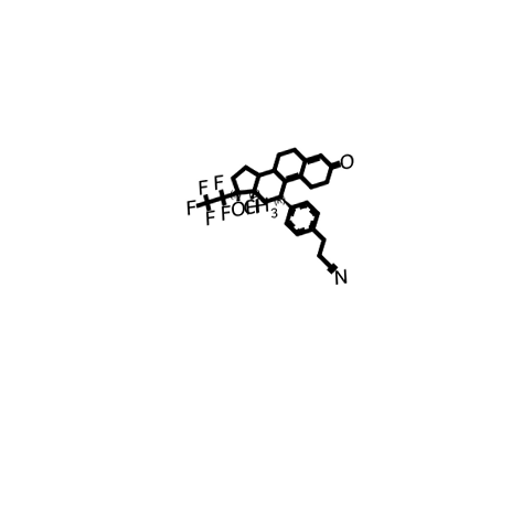 C[C@]12C[C@H](c3ccc(CCC#N)cc3)C3=C4CCC(=O)C=C4CCC3C1CC[C@@]2(O)C(F)(F)C(F)(F)F